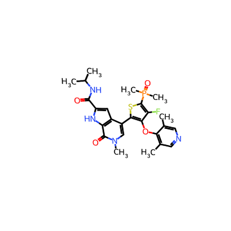 Cc1cncc(C)c1Oc1c(-c2cn(C)c(=O)c3[nH]c(C(=O)NC(C)C)cc23)sc(P(C)(C)=O)c1F